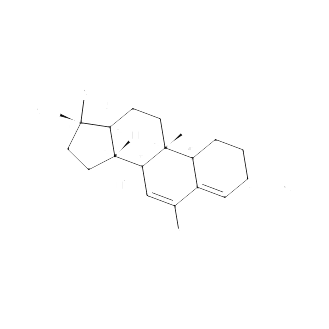 CC(=O)O[C@@H]1C=C2C(Cl)=C[C@@H]3[C@H](CC[C@@]4(C)[C@H]3CC[C@]4(OC(C)=O)C(C)=O)[C@@]2(C)CC1